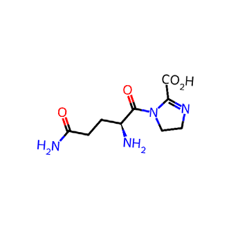 NC(=O)CC[C@H](N)C(=O)N1CCN=C1C(=O)O